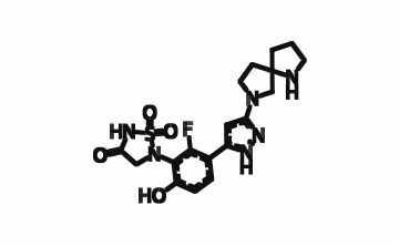 O=C1CN(c2c(O)ccc(-c3cc(N4CCC5(CCCN5)C4)n[nH]3)c2F)S(=O)(=O)N1